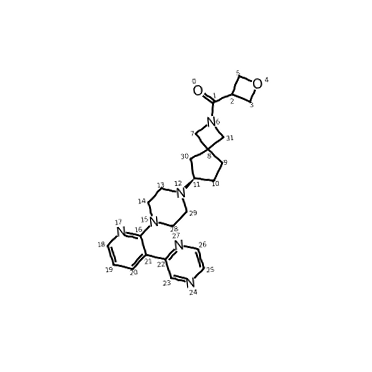 O=C(C1COC1)N1CC2(CC[C@@H](N3CCN(c4ncccc4-c4cnccn4)CC3)C2)C1